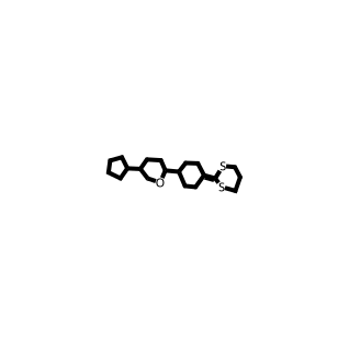 C1CSC(=C2CCC(C3CCC(C4CCCC4)CO3)CC2)SC1